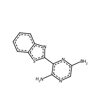 Bc1cnc(N)c(-c2nc3ccccc3s2)n1